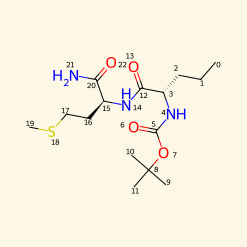 CCC[C@H](NC(=O)OC(C)(C)C)C(=O)N[C@@H](CCSC)C(N)=O